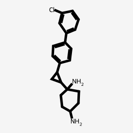 NC1CCC(N)(C2CC2c2ccc(-c3cccc(Cl)c3)cc2)CC1